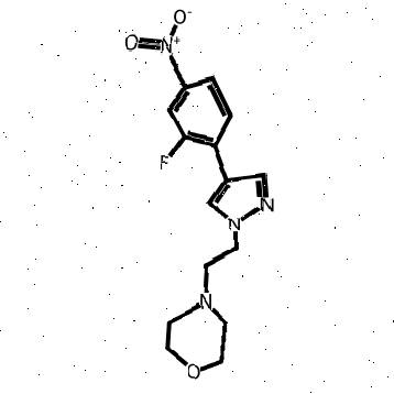 O=[N+]([O-])c1ccc(-c2cnn(CCN3CCOCC3)c2)c(F)c1